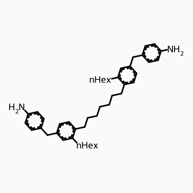 CCCCCCc1cc(Cc2ccc(N)cc2)ccc1CCCCCCCc1ccc(Cc2ccc(N)cc2)cc1CCCCCC